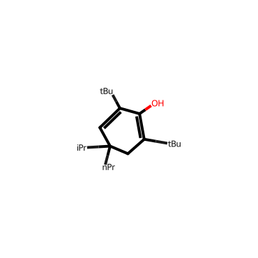 CCCC1(C(C)C)C=C(C(C)(C)C)C(O)=C(C(C)(C)C)C1